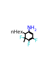 CCCCCCC1C(N)=CC(F)=C(F)C1(C)F